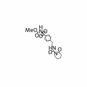 COC(=O)NS(=O)(=O)c1ccc(CCNC(=O)N2CCCCC2=O)cc1